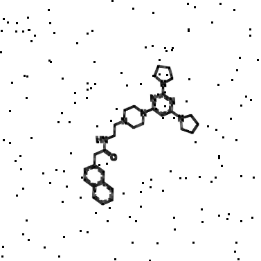 O=C(Cc1ccc2ccccc2c1)NCCN1CCN(c2cc(N3CCCC3)nc(N3CCCC3)n2)CC1